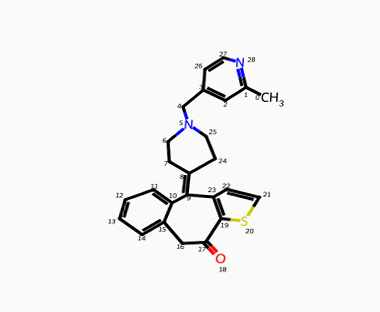 Cc1cc(CN2CCC(=C3c4ccccc4CC(=O)c4sccc43)CC2)ccn1